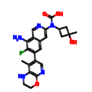 Cc1c(-c2cc3cc(N(C(=O)O)C4CC(C)(O)C4)ncc3c(N)c2F)cnc2c1NCCO2